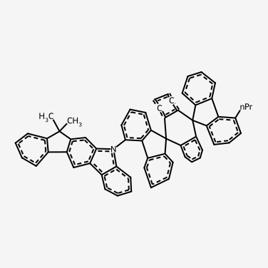 CCCc1cccc2c1-c1ccccc1C21c2ccccc2C2(c3ccccc3-c3c(-n4c5ccccc5c5cc6c(cc54)C(C)(C)c4ccccc4-6)cccc32)c2ccccc21